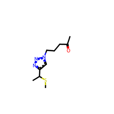 CSC(C)c1cn(CCCC(C)=O)nn1